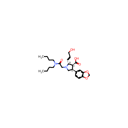 CCCCN(CCCC)C(=O)CN1C[C@H](c2ccc3c(c2)OCO3)[C@H](C(=O)O)[C@H]1C=CCO